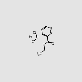 CCOC(=O)c1cccnc1.ClOCl.[Se]